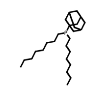 CCCCCCCCP(CCCCCCCC)C12CC3CC(CC(C3)C1)C2